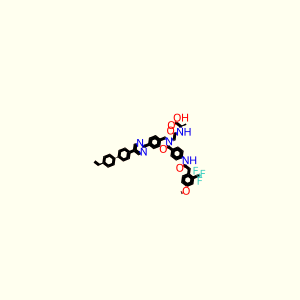 CC[C@H]1CC[C@H](C2CC=C(c3cnc(-c4ccc(CN(CC(=O)N[C@H](C)C(=O)O)C(=O)c5ccc(NC(=O)Cc6ccc(OC)cc6C(F)(F)F)cc5)cc4)nc3)CC2)CC1